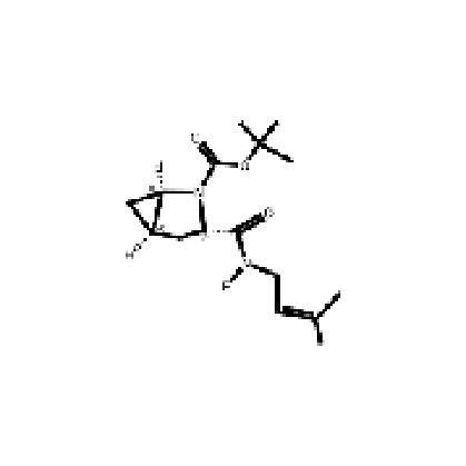 CC(C)=CCN(F)C(=O)[C@@H]1C[C@H]2C[C@H]2N1C(=O)OC(C)(C)C